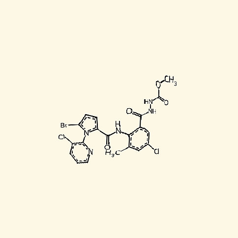 COC(=O)NNC(=O)c1cc(Cl)cc(C)c1NC(=O)c1ccc(Br)n1-c1ncccc1Cl